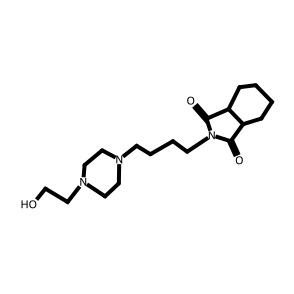 O=C1C2CCCCC2C(=O)N1CCCCN1CCN(CCO)CC1